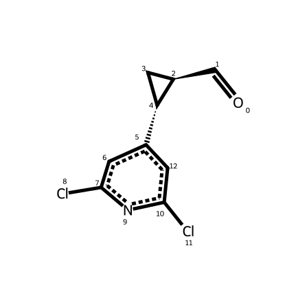 O=C[C@@H]1C[C@H]1c1cc(Cl)nc(Cl)c1